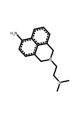 CN(C)CCN1Cc2cccc3c(N)ccc(c23)C1